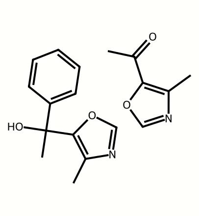 CC(=O)c1ocnc1C.Cc1ncoc1C(C)(O)c1ccccc1